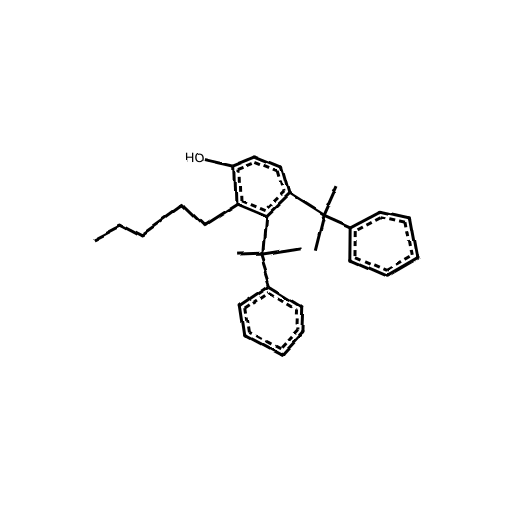 CCCCCc1c(O)ccc(C(C)(C)c2ccccc2)c1C(C)(C)c1ccccc1